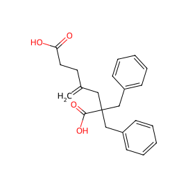 C=C(CCC(=O)O)CC(Cc1ccccc1)(Cc1ccccc1)C(=O)O